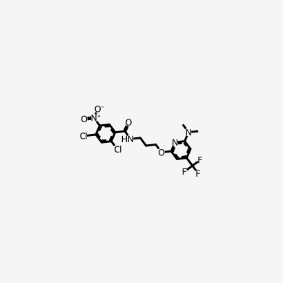 CN(C)c1cc(C(F)(F)F)cc(OCCCNC(=O)c2cc([N+](=O)[O-])c(Cl)cc2Cl)n1